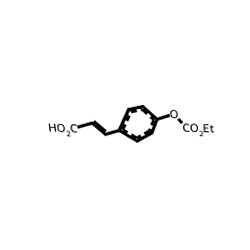 CCOC(=O)Oc1ccc(C=CC(=O)O)cc1